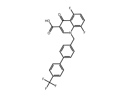 O=C(O)c1cn(Cc2ccc(-c3ccc(C(F)(F)F)cc3)cc2)c2c(F)ccc(F)c2c1=O